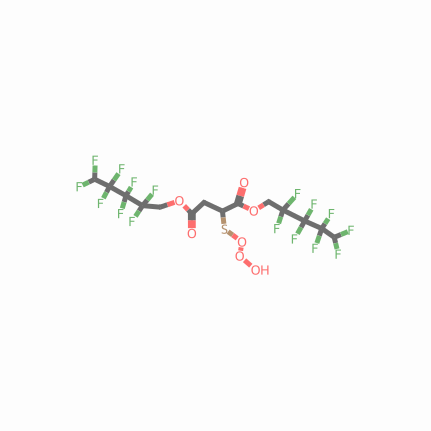 O=C(CC(SOOO)C(=O)OCC(F)(F)C(F)(F)C(F)(F)C(F)F)OCC(F)(F)C(F)(F)C(F)(F)C(F)F